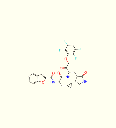 O=C(NC(CC1CC1)C(=O)NC(CC1CCNC1=O)C(=O)COc1c(F)c(F)cc(F)c1F)c1cc2ccccc2o1